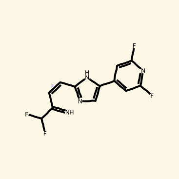 N=C(/C=C\c1ncc(-c2cc(F)nc(F)c2)[nH]1)C(F)F